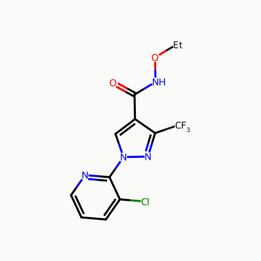 CCONC(=O)c1cn(-c2ncccc2Cl)nc1C(F)(F)F